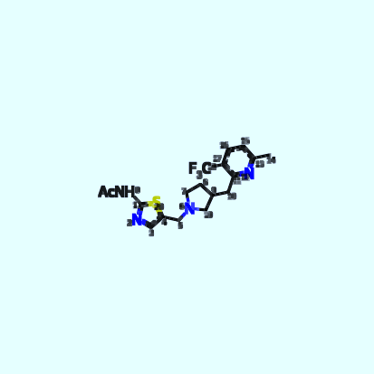 CC(=O)Nc1ncc(CN2CCC(Cc3nc(C)ccc3C(F)(F)F)C2)s1